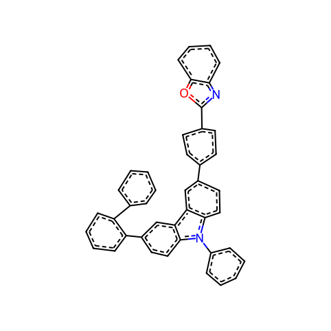 c1ccc(-c2ccccc2-c2ccc3c(c2)c2cc(-c4ccc(-c5nc6ccccc6o5)cc4)ccc2n3-c2ccccc2)cc1